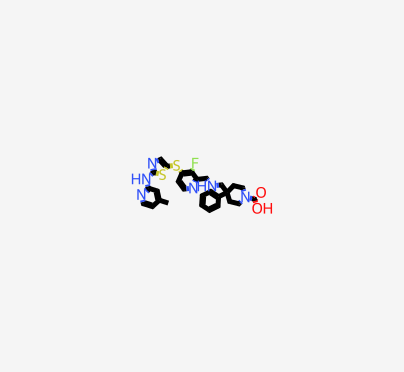 Cc1ccnc(Nc2ncc(Sc3ccnc(CNCC4(c5ccccc5)CCN(C(=O)O)CC4)c3F)s2)c1